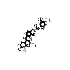 Cc1ccc(NC(=O)OCc2ccc3cc(C4CCC(=O)NC4=O)c(C)nc3c2F)cc1Cl